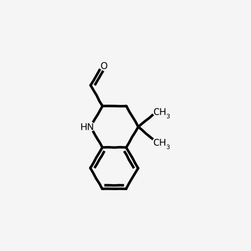 CC1(C)CC(C=O)Nc2ccccc21